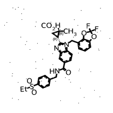 CCS(=O)(=O)c1ccc(CNC(=O)c2ccc3c(c2)nc([C@@H]2C[C@@]2(C)C(=O)O)n3Cc2cccc3c2OC(F)(F)O3)cc1